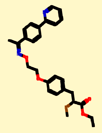 CCOC(=O)C(Cc1ccc(OCCON=C(C)c2ccc(-c3ccccn3)cc2)cc1)SC